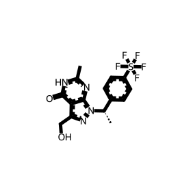 Cc1nc2c(c(CO)nn2[C@@H](C)c2ccc(S(F)(F)(F)(F)F)cc2)c(=O)[nH]1